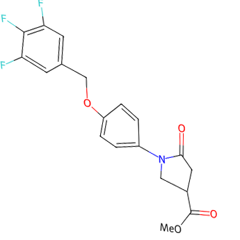 COC(=O)C1CC(=O)N(c2ccc(OCc3cc(F)c(F)c(F)c3)cc2)C1